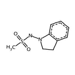 CS(=O)(=O)[N]N1CCc2ccccc21